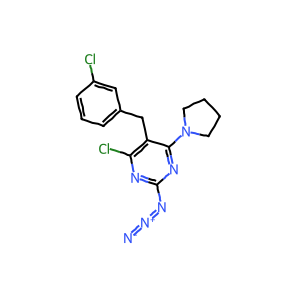 [N-]=[N+]=Nc1nc(Cl)c(Cc2cccc(Cl)c2)c(N2CCCC2)n1